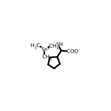 O=C([O-])C(S)C1CCCC1.[CH3][Sn+]([CH3])[CH3]